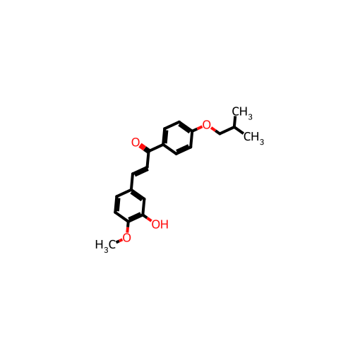 COc1ccc(C=CC(=O)c2ccc(OCC(C)C)cc2)cc1O